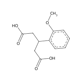 COc1ccccc1C(CC(=O)O)CC(=O)O